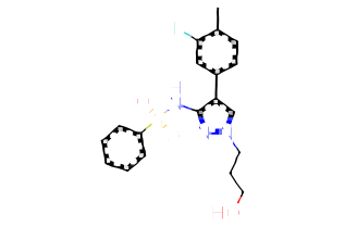 Cc1ccc(-c2cn(CCCO)nc2NS(=O)(=O)c2ccccc2)cc1F